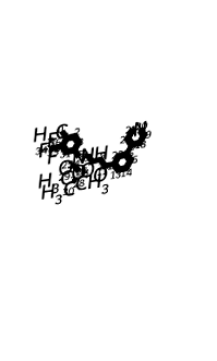 Cc1ccc(N(NC(=O)CC(=O)c2cccc(-c3ccncc3)c2)C(=O)OC(C)(C)C)cc1C(F)(F)F